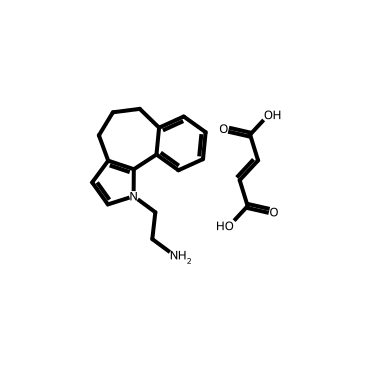 NCCn1ccc2c1-c1ccccc1CCC2.O=C(O)/C=C/C(=O)O